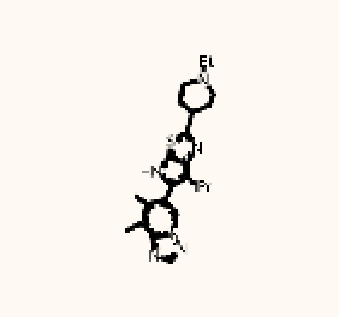 CCN1CCC(c2nc3c(C(C)C)c(-c4cn5ncnc5c(C)c4C)[nH]c3s2)CC1